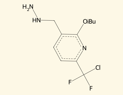 CC(C)COc1nc(C(F)(F)Cl)ccc1CNN